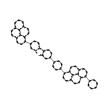 c1ccc(-c2ccc3ccc4c(-c5ccc(-c6ccc7c(c6)sc6cc(-c8ccc9ccc%10cccc%11ccc8c9c%10%11)ccc67)cc5)ccc5ccc2c3c54)cc1